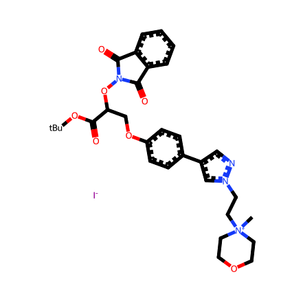 CC(C)(C)OC(=O)C(COc1ccc(-c2cnn(CC[N+]3(C)CCOCC3)c2)cc1)ON1C(=O)c2ccccc2C1=O.[I-]